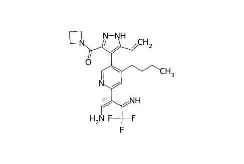 C=Cc1[nH]nc(C(=O)N2CCC2)c1-c1cnc(/C(=C/N)C(=N)C(F)(F)F)cc1CCCC